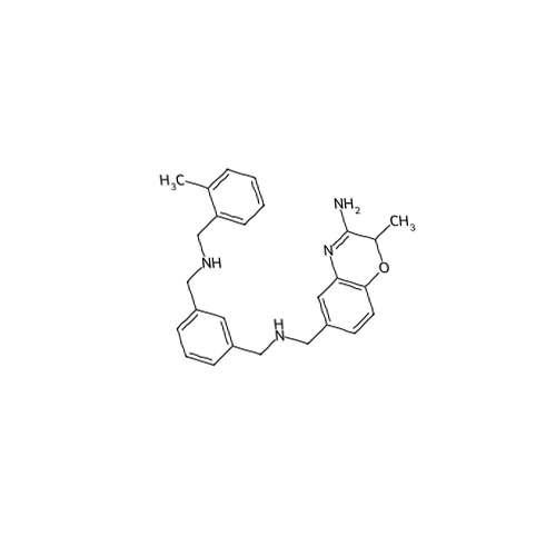 Cc1ccccc1CNCc1cccc(CNCc2ccc3c(c2)N=C(N)C(C)O3)c1